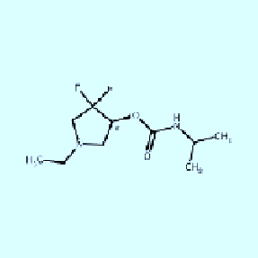 CCN1C[C@H](OC(=O)NC(C)C)C(F)(F)C1